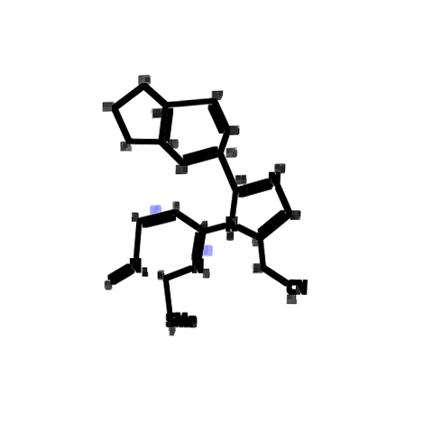 C=N/C=C\C(=N/CSC)n1c(CC#N)cnc1-c1ccc2c(c1)CCC2